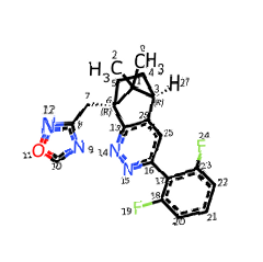 CC1(C)[C@H]2CC[C@]1(Cc1ncon1)c1nnc(-c3c(F)cccc3F)cc12